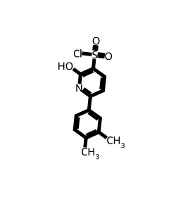 Cc1ccc(-c2ccc(S(=O)(=O)Cl)c(O)n2)cc1C